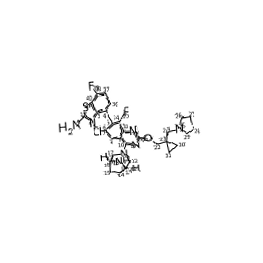 Nc1nc2c(-c3c(Cl)cc4c(N5C[C@H]6CC[C@@H](C5)N6)nc(OCC5(CN6CCCC6)CC5)nc4c3F)ccc(F)c2s1